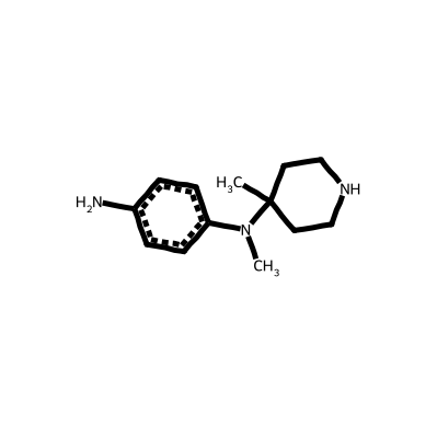 CN(c1ccc(N)cc1)C1(C)CCNCC1